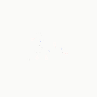 COc1ccc(NC(C)=O)c2c1C(=O)N(C1CCC(=O)NC1=O)C2